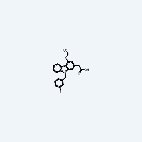 CCSc1cc(CC(=O)O)cc2c1c1ccccc1n2Cc1cccc(F)c1